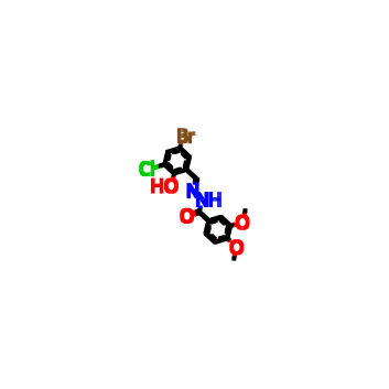 COc1ccc(C(=O)NN=Cc2cc(Br)cc(Cl)c2O)cc1OC